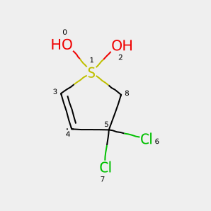 OS1(O)C=[C]C(Cl)(Cl)C1